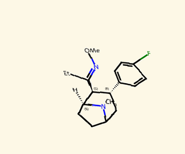 CCC(=NOC)[C@H]1[C@H](c2ccc(F)cc2)CC2CC[C@@H]1N2C